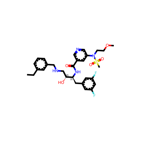 CCc1cccc(CNC[C@@H](O)[C@H](Cc2cc(F)cc(F)c2)NC(=O)c2cncc(N(CCOC)S(C)(=O)=O)c2)c1